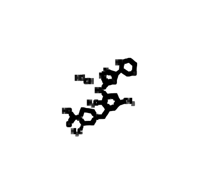 Cc1cc(CN2CCN(C(=O)O)[C@@H](C)C2)c(C)c(Nc2nnc([C@@H]3COCCN3)o2)c1.Cl.Cl